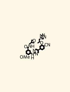 COc1ccc(C(=O)NCC2COC2)cc1Nc1ncc(-c2ccc(C#N)c(OC(C)Cn3cnnn3)c2)cn1